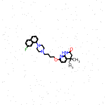 CC1(C)CC(=O)Nc2nc(OCCCCN3CCN(c4cccc5ccc(F)cc45)CC3)ccc21